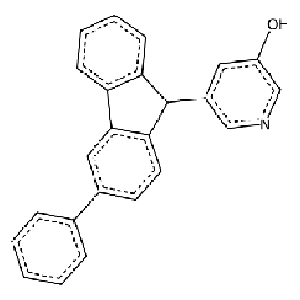 Oc1cncc(C2c3ccccc3-c3cc(-c4ccccc4)ccc32)c1